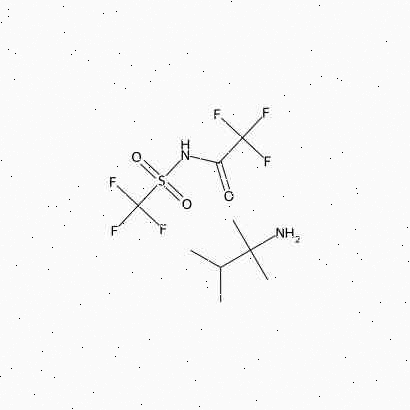 CC(C)C(C)(C)N.O=C(NS(=O)(=O)C(F)(F)F)C(F)(F)F